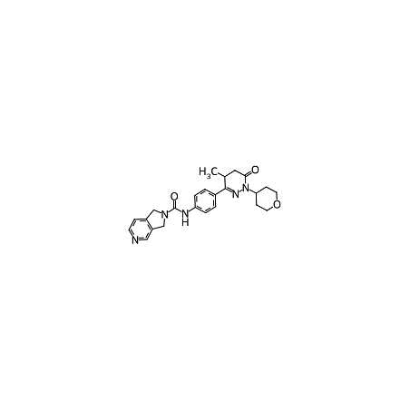 CC1CC(=O)N(C2CCOCC2)N=C1c1ccc(NC(=O)N2Cc3ccncc3C2)cc1